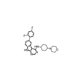 Fc1ccc(-c2ccc3[nH]c4ncnc(NC5CCC(N6CCOCC6)CC5)c4c3c2)c(F)c1